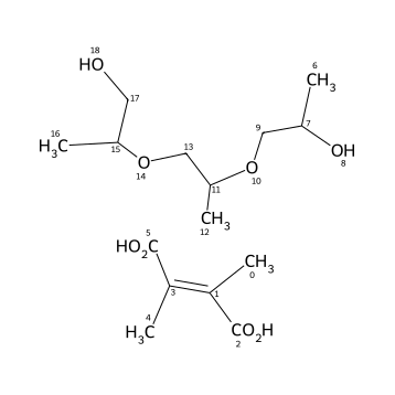 CC(C(=O)O)=C(C)C(=O)O.CC(O)COC(C)COC(C)CO